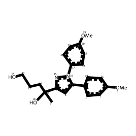 COc1ccc(-c2cc(C(C)(O)CCCO)nn2-c2ccc(OC)cc2)cc1